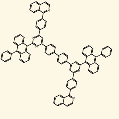 c1ccc(-c2c3ccccc3c(-c3nc(-c4ccc(-c5ccc(-c6cc(-c7ccc(-c8nccc9ccccc89)cc7)nc(-c7c8ccccc8c(-c8ccccc8)c8ccccc78)n6)cc5)cc4)cc(-c4ccc(-c5nccc6ccccc56)cc4)n3)c3ccccc23)cc1